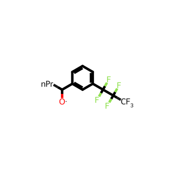 CCCC([O])c1cccc(C(F)(F)C(F)(F)C(F)(F)F)c1